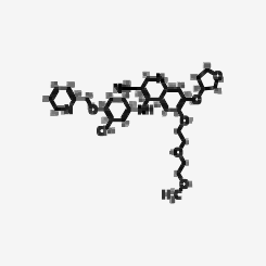 COCCOCCOc1cc2c(Nc3ccc(OCc4ccccn4)c(Cl)c3)c(C#N)cnc2cc1OC1CCOC1